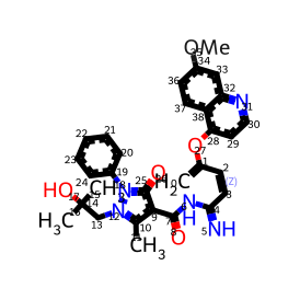 C=C(/C=C\C(=N)NC(=O)c1c(C)n(CC(C)(C)O)n(-c2ccccc2)c1=O)Oc1ccnc2cc(OC)ccc12